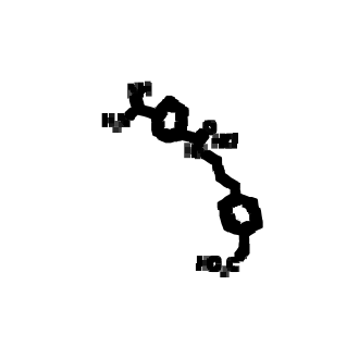 Cl.N=C(N)c1ccc(C(=O)NCCCc2ccc(CC(=O)O)cc2)cc1